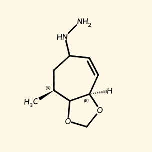 C[C@H]1CC(NN)C=C[C@H]2OCOC12